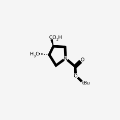 C[C@H]1CN(C(=O)OC(C)(C)C)C[C@@H]1C(=O)O